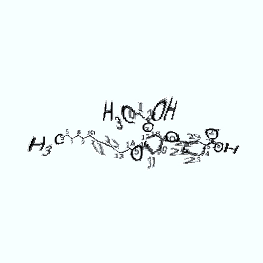 CCC(=O)O.CCCCCCCCCCOc1ccc(Oc2cccc(C(=O)O)c2)cc1